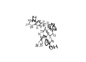 CC(C)(C)c1cc(C(CC(=O)O)Cc2nc(CCCc3ccc4c(n3)NCCC4)no2)cc(C(C)(C)C)c1